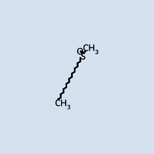 CCCCCCCCCCCCCCCCCCSC(=O)CC